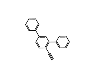 C#Cc1[c]cc(-c2ccccc2)cc1-c1ccccc1